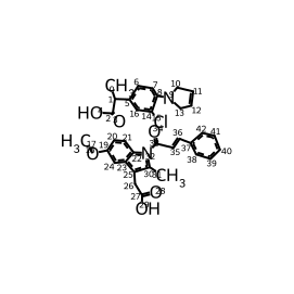 CC(C(=O)O)c1ccc(N2CC=CC2)c(Cl)c1.COc1ccc2c(c1)c(CC(=O)O)c(C)n2C(=O)/C=C/c1ccccc1